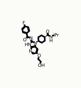 CC(C)NC(=O)[C@H]1CC[C@@H](n2/c(=N/C(=O)c3ccc(F)cc3)[nH]c3ncc(OCCO)cc32)CC1